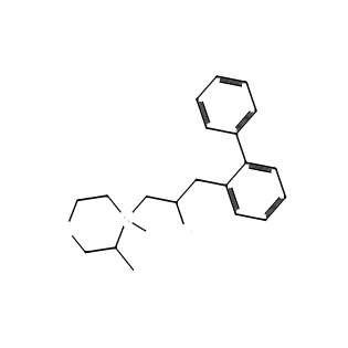 CC1COCC[N+]1(O)CC(O)Cc1ccccc1-c1ccccc1